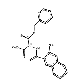 CC[C@@H](OCc1ccccc1)[C@H](NC(=O)c1cc2ccccc2cc1N)C(=O)OC